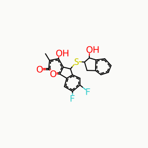 Cc1c(O)c2c(oc1=O)-c1cc(F)c(F)cc1C2SC1Cc2ccccc2C1O